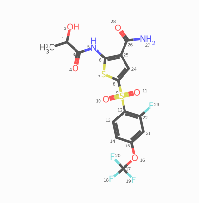 CC(O)C(=O)Nc1sc(S(=O)(=O)c2ccc(OC(F)(F)F)cc2F)cc1C(N)=O